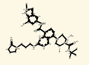 C[C@@H]1CN(c2ccc(C(=O)Nc3cc(F)c4nn(C)cc4c3)c3nc(OCCCN4CCCC4=O)ncc23)C[C@H](C)N1C(=O)OC(C)(C)C